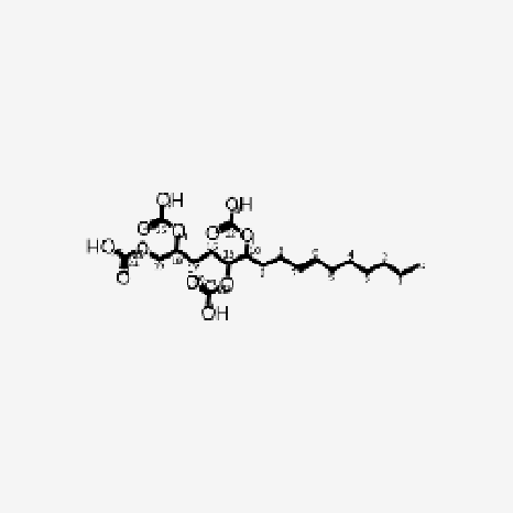 CCCCCCC=CCCC(OC(=O)O)C(CCC(COC(=O)O)OC(=O)O)OC(=O)O